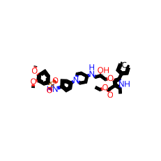 CCOC(=O)c1c(C)[nH]c(-c2ccccc2)c1OC[C@@H](O)CNC1CCN(c2ccc(NS(=O)(=O)c3ccc(OC)c(OC)c3)cc2)CC1